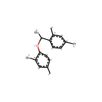 Cc1ccc(OC(c2ccc(C(C)C)cc2C)C(C)(C)C)c(C(C)(C)C)c1